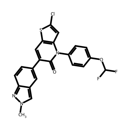 Cn1cc2cc(-c3cc4sc(Cl)cc4n(-c4ccc(OC(F)F)cc4)c3=O)ccc2n1